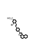 O=C(O)c1ccc(C=Cc2ccc(-c3cc4c(ccc5ccccc54)o3)cc2)c(Br)c1